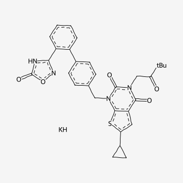 CC(C)(C)C(=O)Cn1c(=O)c2cc(C3CC3)sc2n(Cc2ccc(-c3ccccc3-c3noc(=O)[nH]3)cc2)c1=O.[KH]